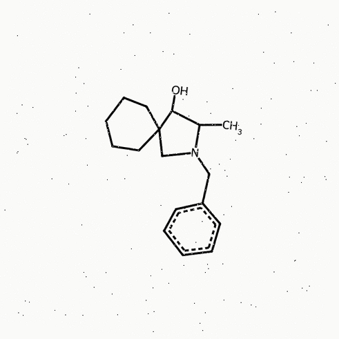 CC1C(O)C2(CCCCC2)CN1Cc1ccccc1